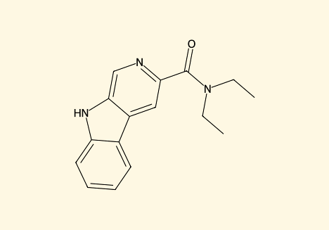 CCN(CC)C(=O)c1cc2c(cn1)[nH]c1ccccc12